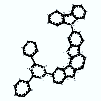 c1ccc(-c2nc(-c3ccccc3)nc(-c3ccc4oc5ccc6c7ccc(-n8c9ccccc9c9ccccc98)cc7sc6c5c4c3)n2)cc1